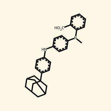 CN(c1ccc(Nc2ccc(C34CC5CC(CC(C5)C3)C4)cc2)cc1)c1ccccc1C(=O)O